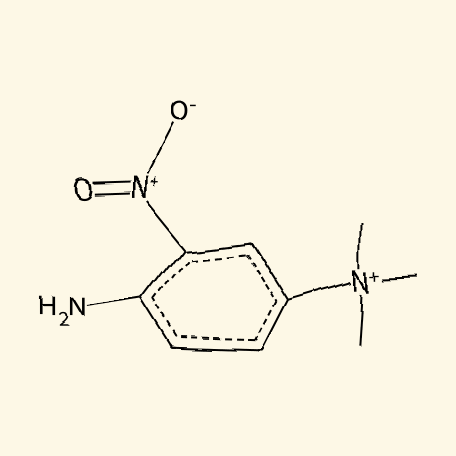 C[N+](C)(C)c1ccc(N)c([N+](=O)[O-])c1